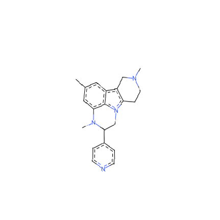 Cc1cc2c3c(c1)c1c(n3CC(c3ccncc3)N2C)CCN(C)C1